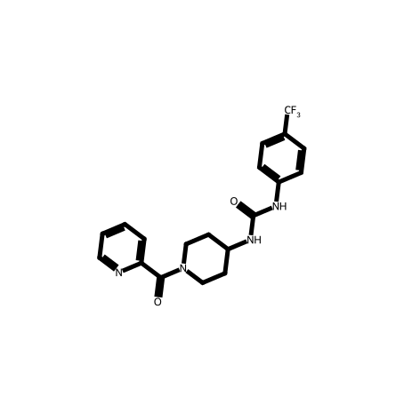 O=C(Nc1ccc(C(F)(F)F)cc1)NC1CCN(C(=O)c2ccccn2)CC1